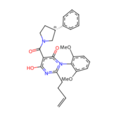 C=CCCc1nc(O)c(C(=O)N2CC[C@H](c3ccccc3)C2)c(=O)n1-c1c(OC)cccc1OC